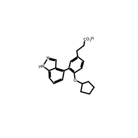 O=C(O)CCc1ccc(OC2CCCC2)c(-c2cccc3[nH]ncc23)c1